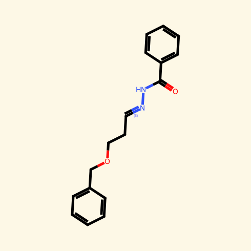 O=C(N/N=C/CCOCc1ccccc1)c1ccccc1